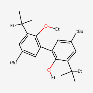 CCOc1c(-c2cc(C(C)(C)C)cc(C(C)(C)CC)c2OCC)cc(C(C)(C)C)cc1C(C)(C)CC